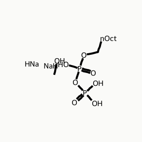 CCCCCCCCCOP(=O)(O)OP(=O)(O)O.CO.[NaH].[NaH]